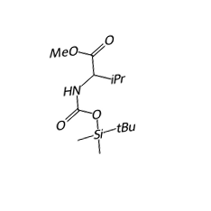 COC(=O)C(NC(=O)O[Si](C)(C)C(C)(C)C)C(C)C